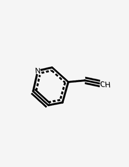 C#Cc1cc#cnc1